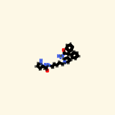 NC(=O)C(c1ccccc1)(c1ccccc1)[C@@H]1CCN(CCCCCNC(=O)C2CCCN2)C1